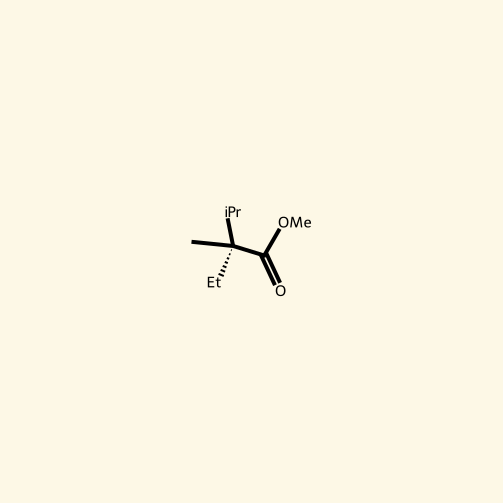 CC[C@@](C)(C(=O)OC)C(C)C